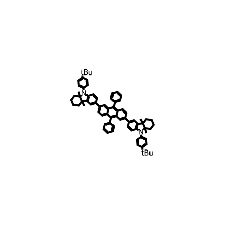 CC(C)(C)c1ccc(N2c3ccc(-c4ccc5c(-c6ccccc6)c6cc(-c7ccc8c(c7)C7(C)CCCCC7(C)N8c7ccc(C(C)(C)C)cc7)ccc6c(-c6ccccc6)c5c4)cc3C3(C)CCCCC23C)cc1